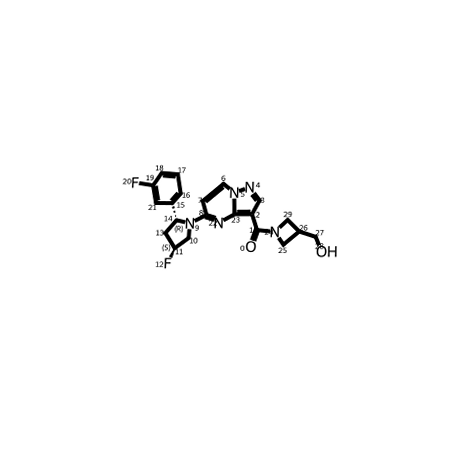 O=C(c1cnn2ccc(N3C[C@@H](F)C[C@@H]3c3cccc(F)c3)nc12)N1CC(CO)C1